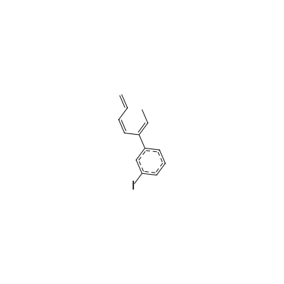 C=C/C=C\C(=C/C)c1cccc(I)c1